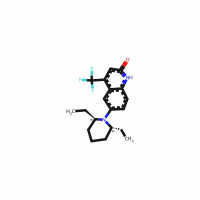 CC[C@@H]1CCC[C@@H](CC)N1c1ccc2[nH]c(=O)cc(C(F)(F)F)c2c1